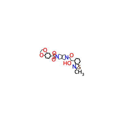 Cc1nc2c([C@@H](O)C(=O)N3CC4=C(C3)CN(S(=O)(=O)c3ccc5c(c3)OCCO5)C4)cccc2s1